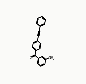 Nc1cccc(C(=O)c2ccc(C#Cc3ccccc3)cc2)c1